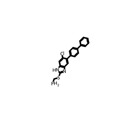 PCSc1nc2cc(-c3ccc(-c4ccccc4)cc3)c(Cl)cc2[nH]1